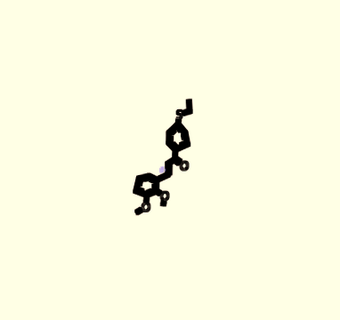 CCSc1ccc(C(=O)/C=C/c2cccc(OC)c2OC)cc1